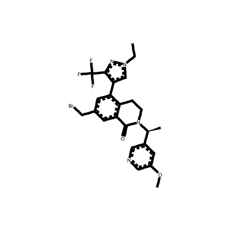 CCn1cc(-c2cc(CBr)cc3c2CCN([C@@H](C)c2cncc(OC)c2)C3=O)c(C(F)(F)F)n1